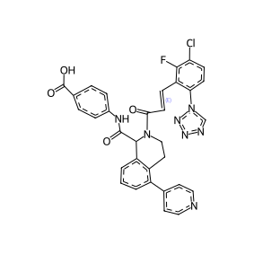 O=C(O)c1ccc(NC(=O)C2c3cccc(-c4ccncc4)c3CCN2C(=O)/C=C/c2c(-n3cnnn3)ccc(Cl)c2F)cc1